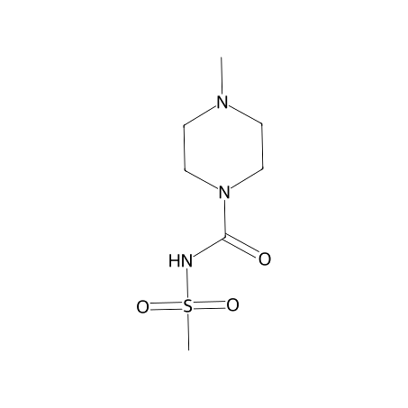 CN1CCN(C(=O)NS(C)(=O)=O)CC1